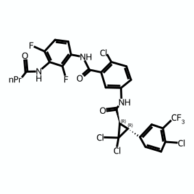 CCCC(=O)Nc1c(F)ccc(NC(=O)c2cc(NC(=O)[C@H]3[C@H](c4ccc(Cl)c(C(F)(F)F)c4)C3(Cl)Cl)ccc2Cl)c1F